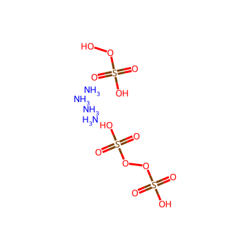 N.N.N.N.O=S(=O)(O)OO.O=S(=O)(O)OOS(=O)(=O)O